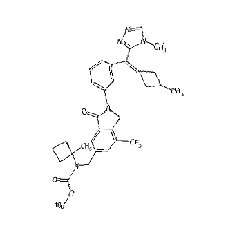 CC1CC(=C(c2cccc(N3Cc4c(cc(CN(C(=O)OC(C)(C)C)C5(C)CCC5)cc4C(F)(F)F)C3=O)c2)c2nncn2C)C1